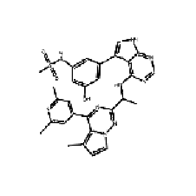 Cc1cc(-c2nc(C(C)Nc3ncnc4[nH]cc(-c5cc(O)cc(NS(C)(=O)=O)c5)c34)nn3ccc(C)c23)cc(C)n1